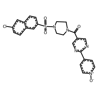 O=C(c1cnc(-c2cc[n+]([O-])cc2)nc1)N1CCN(S(=O)(=O)c2ccc3cc(Cl)ccc3c2)CC1